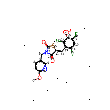 COc1ccc(CN2C(=O)S/C(=C\c3c(F)cc(F)c(O)c3F)C2=O)cn1